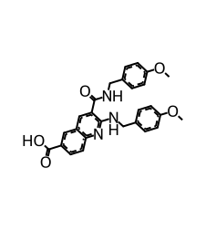 COc1ccc(CNC(=O)c2cc3cc(C(=O)O)ccc3nc2NCc2ccc(OC)cc2)cc1